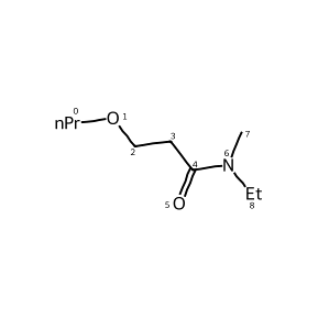 CCCOCCC(=O)N(C)CC